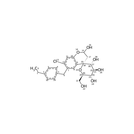 CCc1ccc(Cc2cc3c(cc2Cl)OC(O)C[C@]32O[C@H](CO)[C@@H](O)[C@H](O)[C@H]2O)cc1